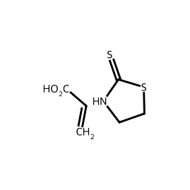 C=CC(=O)O.S=C1NCCS1